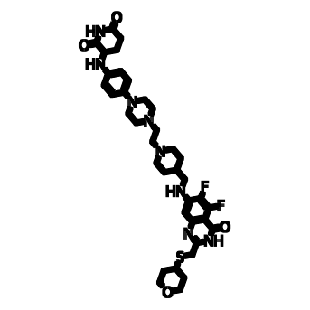 O=C1CCC(Nc2ccc(N3CCN(CCN4CCC(CNc5cc6nc(CSC7CCOCC7)[nH]c(=O)c6c(F)c5F)CC4)CC3)cc2)C(=O)N1